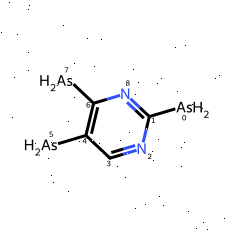 [AsH2]c1ncc([AsH2])c([AsH2])n1